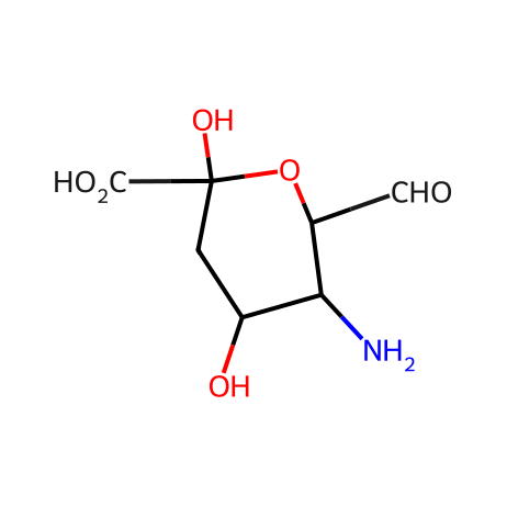 NC1C(O)CC(O)(C(=O)O)OC1C=O